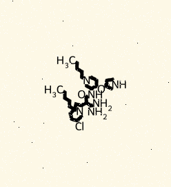 CCCCCN1CCC(O[C@@H]2CCNC2)C(NC(=O)C(C(N)N)C2CC3(CCCCC)CCC(Cl)CN23)C1